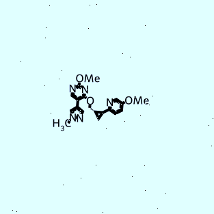 COc1ccc(C2C[C@@H]2COc2nc(OC)ncc2-c2cnn(C)c2)nc1